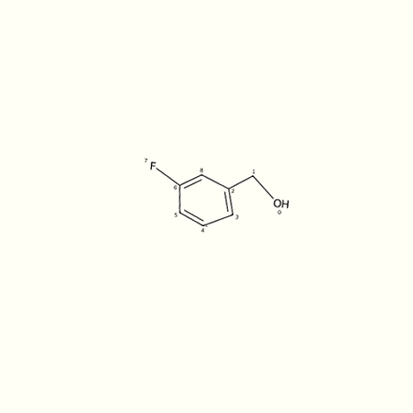 OCc1c[c]cc(F)c1